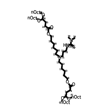 CCCCCCCCOC(CCC(=O)OCCCCCCN(CCCCCCOC(=O)CCC(OCCCCCCCC)OCCCCCCCC)CCCNC(=S)N(C)C)OCCCCCCCC